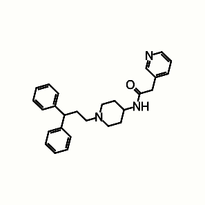 O=C(Cc1cccnc1)NC1CCN(CCC(c2ccccc2)c2ccccc2)CC1